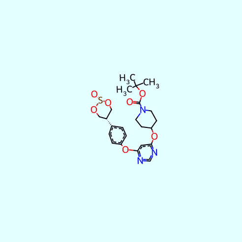 CC(C)(C)OC(=O)N1CCC(Oc2cc(Oc3ccc([C@H]4CO[S@](=O)OC4)cc3)ncn2)CC1